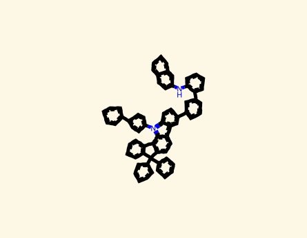 c1ccc(-c2ccc(-n3c4ccc(-c5cccc(-c6ccccc6Nc6ccc7ccccc7c6)c5)cc4c4ccc5c(c43)-c3ccccc3C5(c3ccccc3)c3ccccc3)cc2)cc1